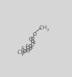 CCCCCC1CCC(C2COc3cc(-c4cc(F)c(C(F)(F)Oc5cc(F)c(Cl)c(F)c5)c(F)c4)c(F)cc3C2)CC1